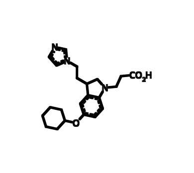 O=C(O)CCN1CC(CCn2ccnc2)c2cc(OC3CCCCC3)ccc21